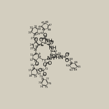 O=C(COC(=O)[C@@H]1Cc2cc(ccc2OCc2ccccc2)-c2ccc(OCc3ccccc3)c(c2)C[C@H](NC(=O)OCc2ccccc2)C(=O)N[C@@H](CCCNC(=O)OCc2ccccc2)C(=O)N1)OCc1ccccc1